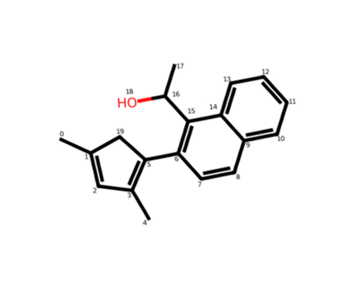 CC1=CC(C)=C(c2ccc3ccccc3c2C(C)O)C1